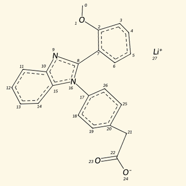 COc1ccccc1-c1nc2ccccc2n1-c1ccc(CC(=O)[O-])cc1.[Li+]